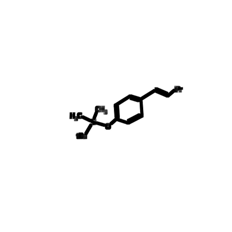 CC(C)C=Cc1ccc(O[Si](C)(C)C(C)(C)C)cc1